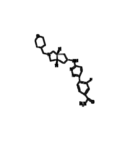 NC(=O)c1ccc(-c2ccc(NC3C[C@@H]4CN(CC5CCOCC5)C[C@@H]4C3)nn2)c(F)c1